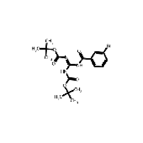 CC(C)(C)OC(=O)/N=C(\NC(=O)OC(C)(C)C)NC(=O)c1cccc(Br)c1